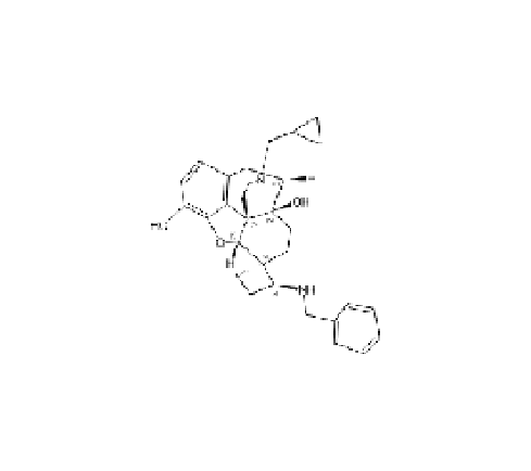 Oc1ccc2c3c1O[C@H]1[C@@]4(CC[C@@H]4NCc4ccccc4)CC[C@@]4(O)[C@@H](C2)N(CC2CC2)CC[C@]314